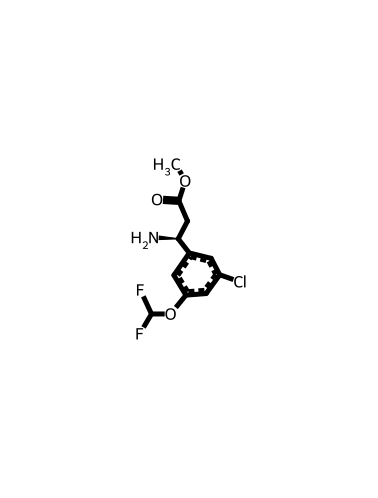 COC(=O)C[C@H](N)c1cc(Cl)cc(OC(F)F)c1